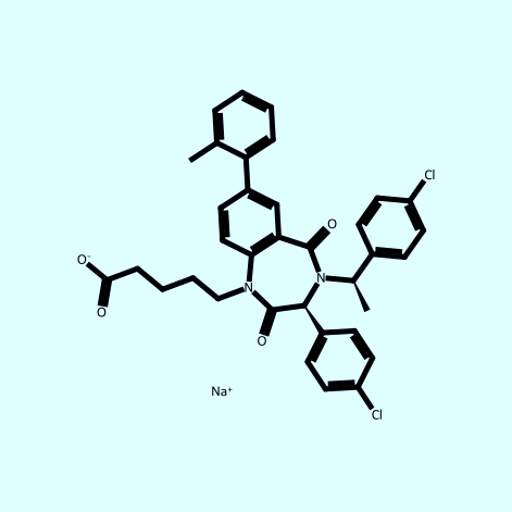 Cc1ccccc1-c1ccc2c(c1)C(=O)N([C@H](C)c1ccc(Cl)cc1)[C@@H](c1ccc(Cl)cc1)C(=O)N2CCCCC(=O)[O-].[Na+]